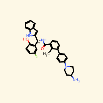 Cc1c(C(=O)N[C@@H](c2cc3ccccc3[nH]2)c2cc(F)ccc2O)cccc1-c1ccc(N2CCC(N)CC2)cc1